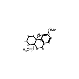 COc1ccc2c(c1)[C@@]1(C)CCC[C@@H](C)[C@@H]1CC2